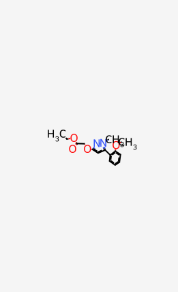 CCOC(=O)COc1cc(-c2ccccc2OC)n(C)n1